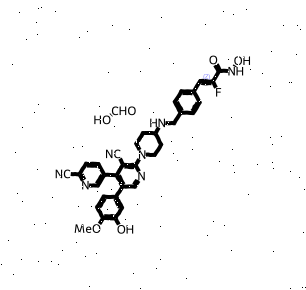 COc1ccc(-c2cnc(N3CCC(NCc4ccc(/C=C(\F)C(=O)NO)cc4)CC3)c(C#N)c2-c2ccc(C#N)nc2)cc1O.O=CO